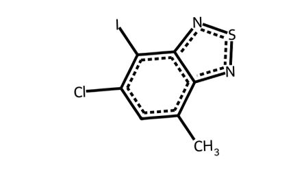 Cc1cc(Cl)c(I)c2nsnc12